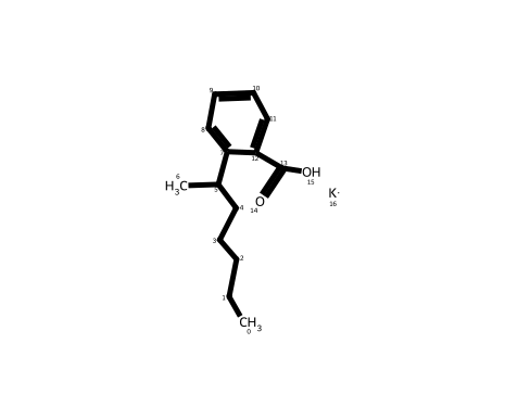 CCCCCC(C)c1ccccc1C(=O)O.[K]